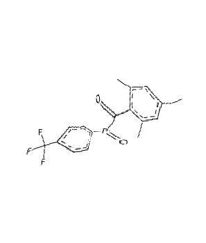 Cc1cc(C)c(C(=O)[P](=O)c2ccc(C(F)(F)F)cc2)c(C)c1